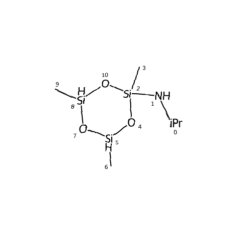 CC(C)N[Si]1(C)O[SiH](C)O[SiH](C)O1